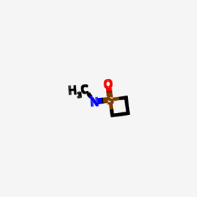 CN=S1(=O)CCC1